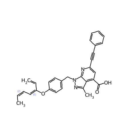 C=C/C(=C\C=C/C)Oc1ccc(Cn2nc(C)c3c(C(=O)O)cc(C#Cc4ccccc4)nc32)cc1